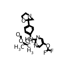 CC(C)(C)OC=O.FC(F)Oc1cnc(Nc2ccc(C34CN3CCO4)cc2)nc1